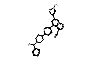 CC(c1ccccc1)N1CCN(c2ccc(-c3cc(-c4cnn(C)c4)cn4ncc(C#N)c34)cn2)CC1